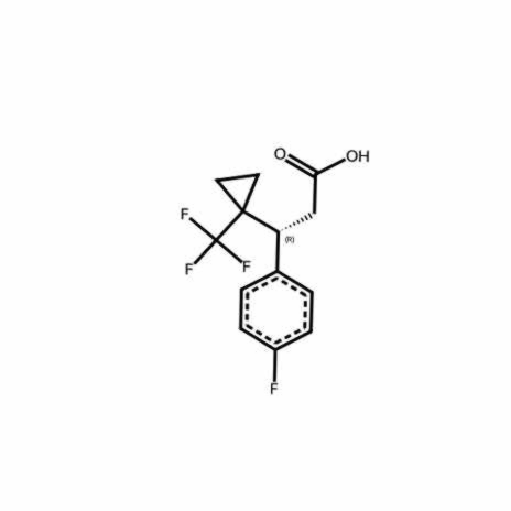 O=C(O)C[C@H](c1ccc(F)cc1)C1(C(F)(F)F)CC1